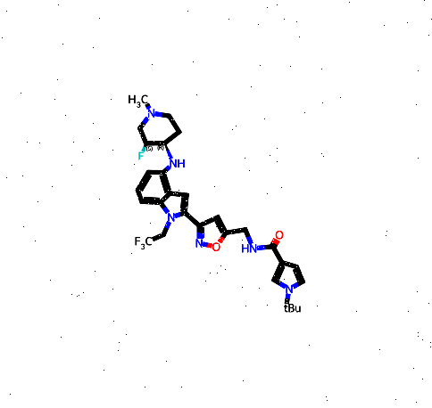 CN1CC[C@@H](Nc2cccc3c2cc(-c2cc(CNC(=O)c4ccn(C(C)(C)C)c4)on2)n3CC(F)(F)F)[C@@H](F)C1